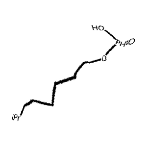 CC(C)CCCCCO[PH](=O)O